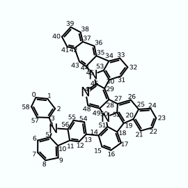 c1ccc(-n2c3ccccc3c3cc(-c4cccc5c6c7ccccc7cc7c8c9c%10cccc%11c%12cc%13ccccc%13cc%12n(c9ncc8n(c45)c76)c%11%10)ccc32)cc1